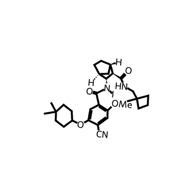 COc1cc(C#N)c(OC2CCC(C)(C)CC2)cc1C(=O)N(I)[C@@H]1[C@H]2CC[C@@H](C2)[C@H]1C(=O)NCC1(C)CCC1